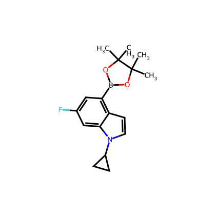 CC1(C)OB(c2cc(F)cc3c2ccn3C2CC2)OC1(C)C